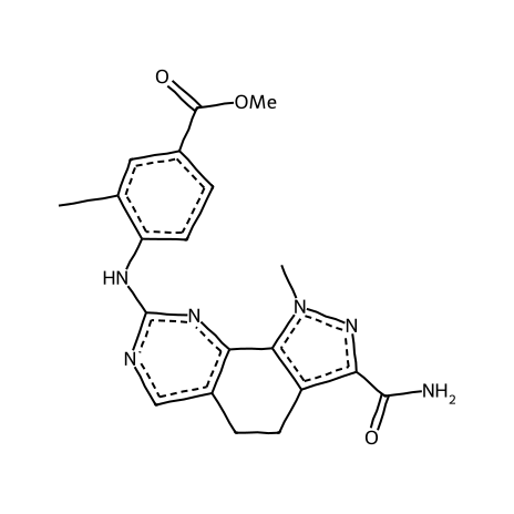 COC(=O)c1ccc(Nc2ncc3c(n2)-c2c(c(C(N)=O)nn2C)CC3)c(C)c1